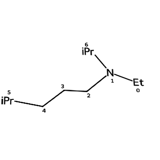 CCN(CCCC(C)C)C(C)C